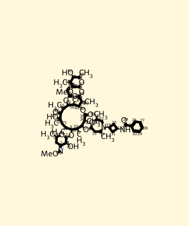 CO/N=C1\C[C@@H](C)O[C@@H](O[C@@H]2[C@@H](C)[C@H](O[C@H]3CC(C)N([C@H]4C[C@H](NC(=O)c5ccccc5)C4)C[C@H](C)O3)[C@@H](C)C(=O)O[C@H]([C@@H](C)CO[C@@H]3O[C@H](C)[C@@H](O)[C@@H](C)[C@H]3OC)[C@H](C)[C@@H](OC(=O)CC(C)C)[C@@H](C)C(=O)[C@@](C)(O)C[C@@H]2C)[C@@H]1O